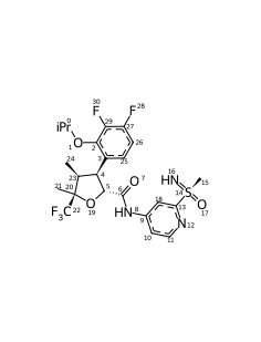 CC(C)Oc1c([C@H]2[C@H](C(=O)Nc3ccnc([S@](C)(=N)=O)c3)O[C@@](C)(C(F)(F)F)[C@H]2C)ccc(F)c1F